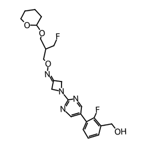 OCc1cccc(-c2cnc(N3CC(=NOCC(CF)COC4CCCCO4)C3)nc2)c1F